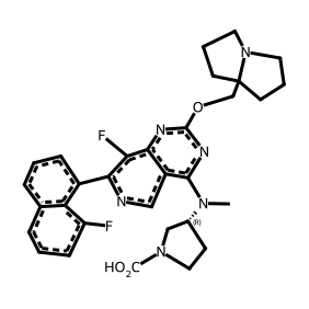 CN(c1nc(OCC23CCCN2CCC3)nc2c(F)c(-c3cccc4cccc(F)c34)ncc12)[C@@H]1CCN(C(=O)O)C1